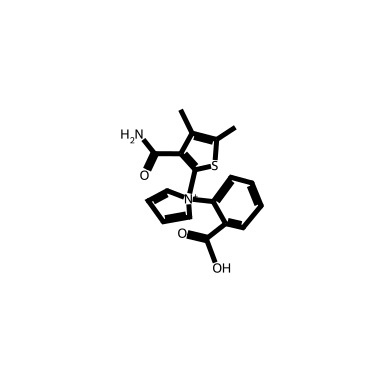 Cc1sc([N+]2(c3ccccc3C(=O)O)C=CC=C2)c(C(N)=O)c1C